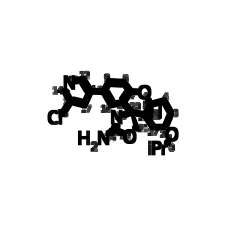 CC(C)OC1CCC2Oc3ccc(-c4cncc(Cl)c4)cc3[C@]3(COC(N)=N3)[C@H]2C1